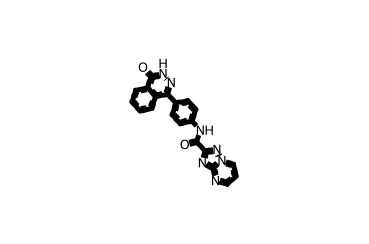 O=C(Nc1ccc(-c2n[nH]c(=O)c3ccccc23)cc1)c1nc2ncccn2n1